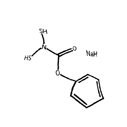 O=C(Oc1ccccc1)N(S)S.[NaH]